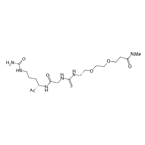 CNC(=O)CCOCCOCCNC(=S)NCC(=O)N[C@@H](CCCNC(N)=O)C(C)=O